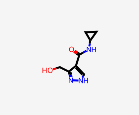 O=C(NC1CC1)c1c[nH]nc1CO